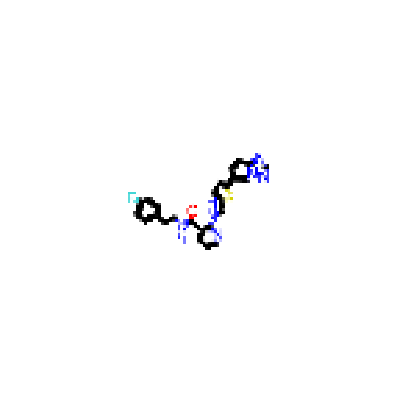 O=C(NCCc1ccc(F)cc1)c1cccnc1NCc1ccc(-c2ccc3ncnn3c2)s1